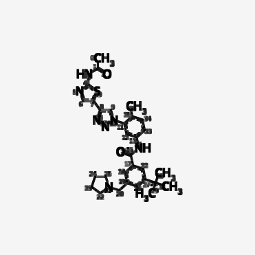 CC(=O)Nc1ncc(-c2cn(-c3cc(NC(=O)c4cc(CN5CCCC5)cc(C(C)(C)C)c4)ccc3C)nn2)s1